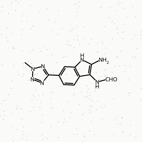 Cn1nnc(-c2ccc3c(NC=O)c(N)[nH]c3c2)n1